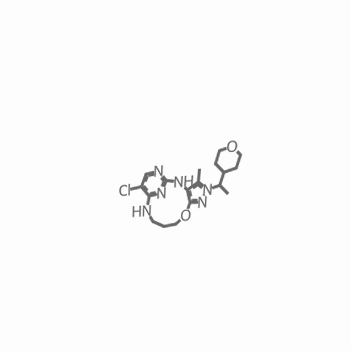 Cc1c2c(nn1C(C)C1CCOCC1)OCCCNc1nc(ncc1Cl)N2